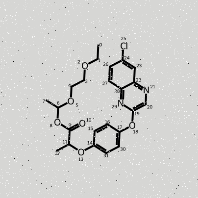 CCOCCOC(C)OC(=O)C(C)Oc1ccc(Oc2cnc3cc(Cl)ccc3n2)cc1